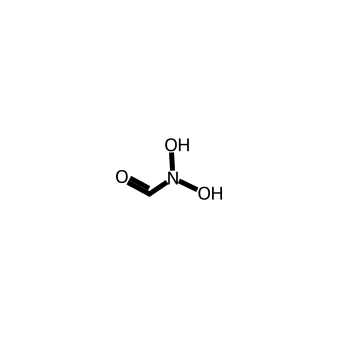 O=CN(O)O